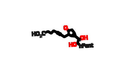 CCCCCC(O)[C@@H](O)C1C2CC(=O)C(CC#CCCCC(=O)O)C21